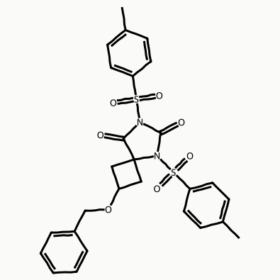 Cc1ccc(S(=O)(=O)N2C(=O)N(S(=O)(=O)c3ccc(C)cc3)C3(CC(OCc4ccccc4)C3)C2=O)cc1